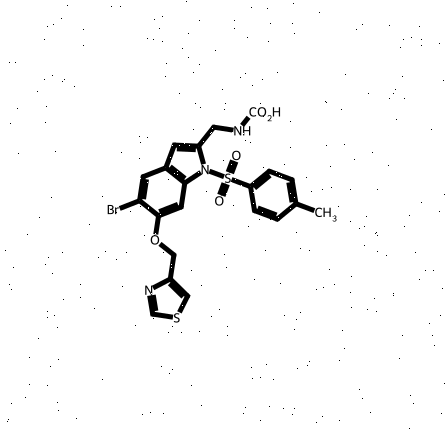 Cc1ccc(S(=O)(=O)n2c(CNC(=O)O)cc3cc(Br)c(OCc4cscn4)cc32)cc1